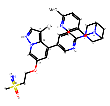 COc1ccc(CN2C3CC2CN(c2ccc(-c4cc(OCCS(C)(=N)=O)cn5ncc(C#N)c45)cn2)C3)cn1